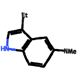 CCc1c[nH]c2ccc(NC)cc12